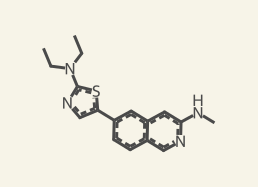 CCN(CC)c1ncc(-c2ccc3cnc(NC)cc3c2)s1